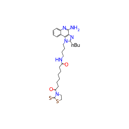 CCCCc1nc2c(N)nc3ccccc3c2n1CCCCNC(=O)CCCCCCC(=O)N1CCSC1=S